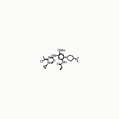 C=CC(=O)Nc1cc(N/C(N=C)=N/C(NC2CC2)=C(\C)Cl)c(OC)cc1N1CCC(N(C)C)CC1